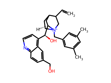 C=CC1C[N+]2(Cc3cc(C)cc(C)c3)CCC1C[C@@H]2[C@@H](O)c1ccnc2ccc(CO)cc12